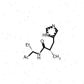 CC[C@H](NC(=O)[C@@H](C)Cc1cnc[nH]1)C(C)=O